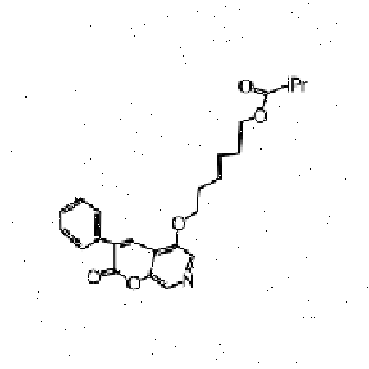 CC(C)C(=O)OCCCCCCOc1cncc2oc(=O)c(-c3ccccc3)cc12